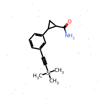 C[Si](C)(C)C#Cc1cccc(C2CC2C(N)=O)c1